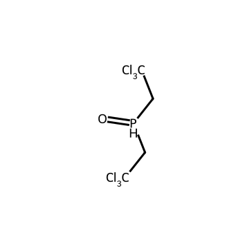 O=[PH](CC(Cl)(Cl)Cl)CC(Cl)(Cl)Cl